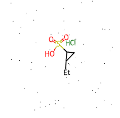 CCC1CC1S(=O)(=O)O.Cl